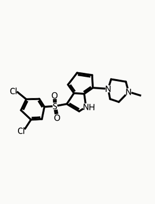 CN1CCN(c2cccc3c(S(=O)(=O)c4cc(Cl)cc(Cl)c4)c[nH]c23)CC1